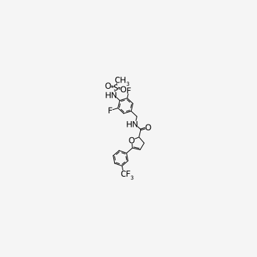 CS(=O)(=O)Nc1c(F)cc(CNC(=O)C2CC=C(c3cccc(C(F)(F)F)c3)O2)cc1F